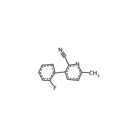 Cc1ccc(-c2ccccc2F)c(C#N)n1